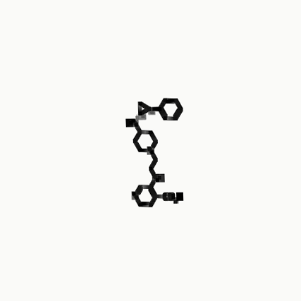 O=C(O)c1ccncc1NCCN1CCC(N[C@@H]2C[C@H]2c2ccccc2)CC1